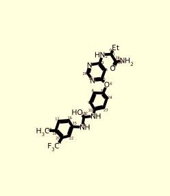 CCC(Nc1cc(Oc2ccc(NC(O)Nc3ccc(C)c(C(F)(F)F)c3)cc2)ncn1)C(N)=O